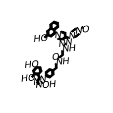 O=CN1CCN(c2nc(NCCC(=O)NCCc3ccc(-n4c(O)nnc4-c4ccc(O)cc4O)cc3)nc3c2CCN(c2cc(O)cc4ccccc24)C3)CC1